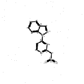 O=[SH](=O)Cc1nccc(-n2ncc3ccccc32)n1